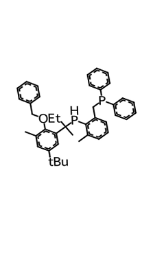 CCC(C)(Pc1c(C)cccc1CP(c1ccccc1)c1ccccc1)c1cc(C(C)(C)C)cc(C)c1OCc1ccccc1